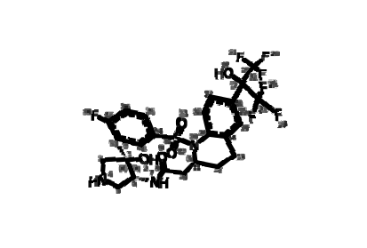 C[C@@]1(O)CNC[C@H]1NC(=O)C[C@@H]1CCc2cc(C(O)(C(F)(F)F)C(F)(F)F)ccc2N1S(=O)(=O)c1ccc(F)cc1